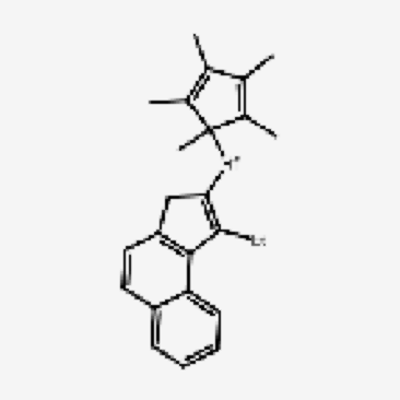 CCC1=[C]([Hf][C]2(C)C(C)=C(C)C(C)=C2C)Cc2ccc3ccccc3c21